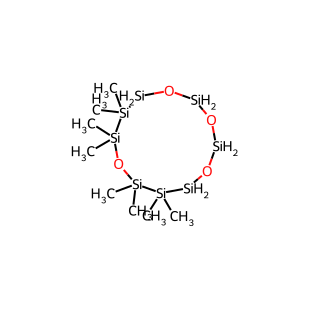 C[Si]1(C)O[Si](C)(C)[Si](C)(C)[SiH2]O[SiH2]O[SiH2]O[SiH2][Si]1(C)C